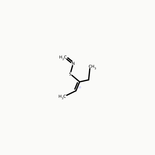 C=NS/C(=C\C)CC